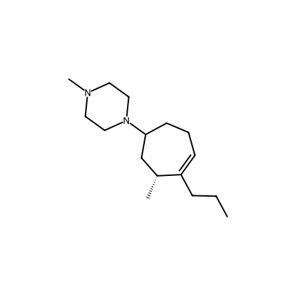 CCCC1=CCCC(N2CCN(C)CC2)C[C@H]1C